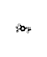 CC(=O)Nc1ccc([N+](=O)[O-])c(Cl)c1